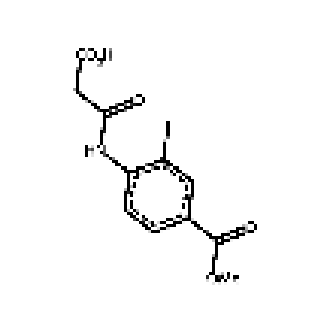 COC(=O)c1ccc(NC(=O)CC(=O)O)c(C)c1